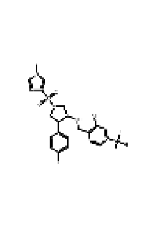 Cn1cnc(S(=O)(=O)N2CC(NCc3ccc(C(F)(F)F)cc3Cl)C(c3ccc(F)cc3)C2)c1